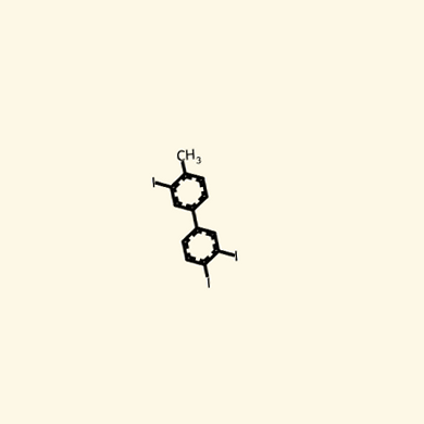 Cc1ccc(-c2ccc(I)c(I)c2)cc1I